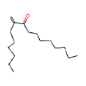 C=C(CCCCCC)C(=O)CCCCCCCC